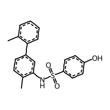 Cc1ccc(-c2ccccc2C)cc1NS(=O)(=O)c1ccc(O)cc1